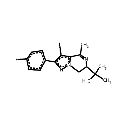 CC1=NC(C(C)(C)C)Cn2nc(-c3ccc(F)cc3)c(I)c21